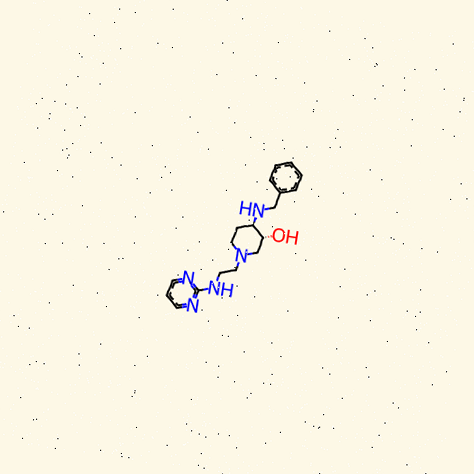 O[C@@H]1CN(CCNc2ncccn2)CC[C@H]1NCc1ccccc1